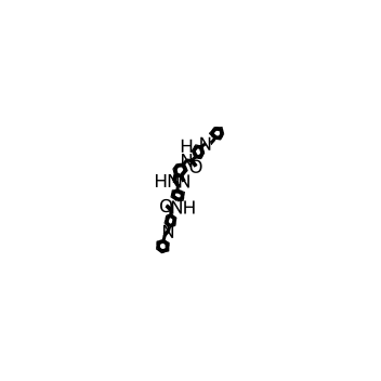 O=C(Nc1ccc(-c2nc3cc(NC(=O)c4ccc(/N=C/c5ccccc5)cc4)ccc3[nH]2)cc1)c1ccc(/N=C/c2ccccc2)cc1